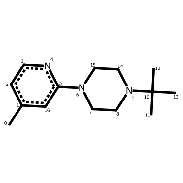 Cc1ccnc(N2CCN(C(C)(C)C)CC2)c1